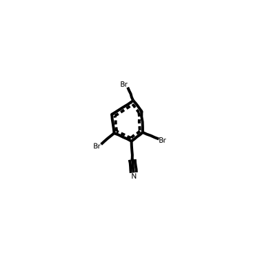 N#Cc1c(Br)cc(Br)cc1Br